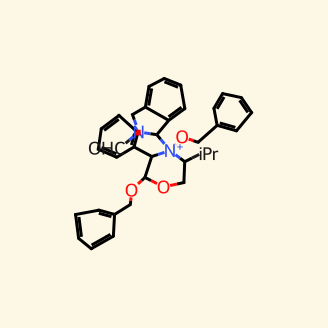 CC(C)C1COC(OCc2ccccc2)C(c2ccccc2)[N+]1(OCc1ccccc1)C1c2ccccc2CN1C=O